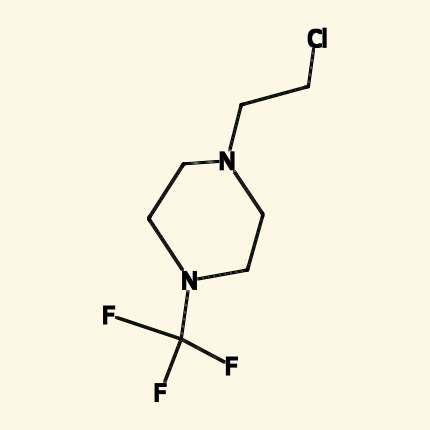 FC(F)(F)N1CCN(CCCl)CC1